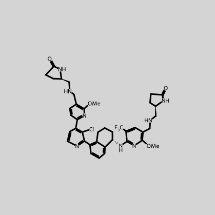 COc1nc(-c2ccnc(-c3cccc4c3CCC[C@@H]4Nc3nc(OC)c(CNC[C@H]4CCC(=O)N4)cc3C(F)(F)F)c2Cl)ccc1CNC[C@H]1CCC(=O)N1